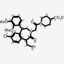 CCOC(=O)C1CCN(C(=O)CN2CC(c3cccc(OC)c3OC)c3cc(Cl)ccc3C(CC(C)C)C2=O)CC1